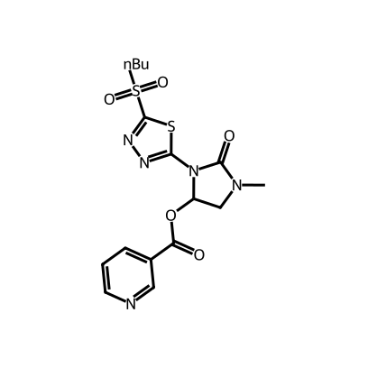 CCCCS(=O)(=O)c1nnc(N2C(=O)N(C)CC2OC(=O)c2cccnc2)s1